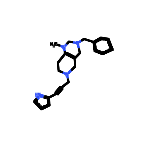 CN1CN(Cc2ccccc2)CC2=C1CCN(CC#Cc1ccc[nH]1)C2